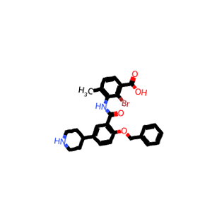 Cc1ccc(C(=O)O)c(Br)c1NC(=O)c1cc(C2CCNCC2)ccc1OCc1ccccc1